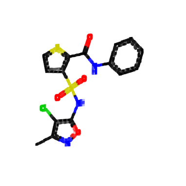 Cc1noc(NS(=O)(=O)c2ccsc2C(=O)Nc2ccccc2)c1Cl